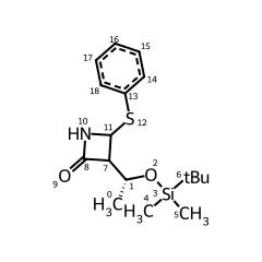 C[C@@H](O[Si](C)(C)C(C)(C)C)C1C(=O)NC1Sc1ccccc1